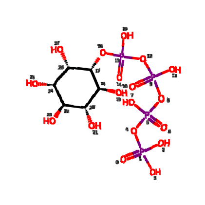 O=P(O)(O)OP(=O)(O)OP(=O)(O)OP(=O)(O)O[C@@H]1[C@@H](O)[C@H](O)[C@@H](O)[C@H](O)[C@@H]1O